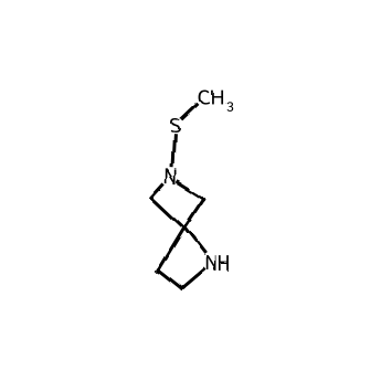 CSN1CC2(CCN2)C1